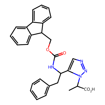 CC(C(=O)O)n1nncc1C(Cc1ccccc1)NC(=O)OCC1c2ccccc2-c2ccccc21